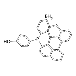 B.Oc1ccc(P(c2ccccc2)c2ccc3cccc4c5cccc6cccc(c2c34)c65)cc1